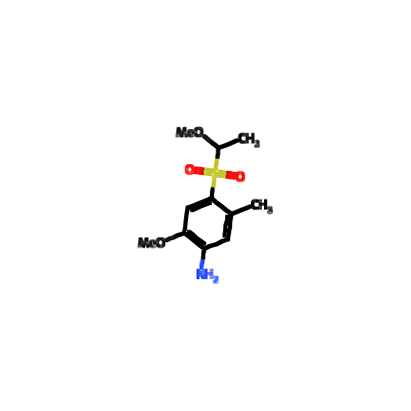 COc1cc(S(=O)(=O)C(C)OC)c(C)cc1N